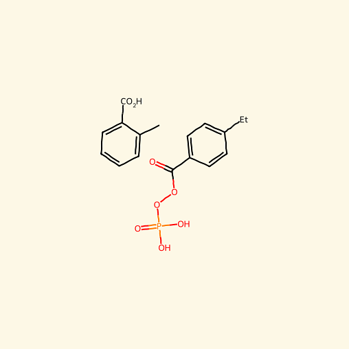 CCc1ccc(C(=O)OOP(=O)(O)O)cc1.Cc1ccccc1C(=O)O